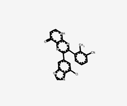 Cc1c(C#N)cccc1-c1nc2[nH]ccc(=O)c2nc1-c1cc(Cl)c2ncoc2c1